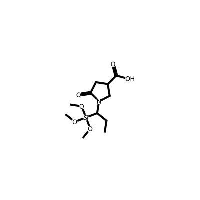 CCC(N1CC(C(=O)O)CC1=O)[Si](OC)(OC)OC